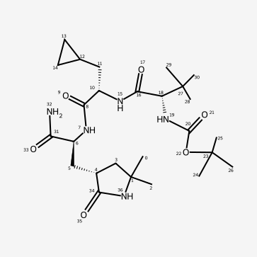 CC1(C)C[C@@H](C[C@H](NC(=O)[C@H](CC2CC2)NC(=O)[C@@H](NC(=O)OC(C)(C)C)C(C)(C)C)C(N)=O)C(=O)N1